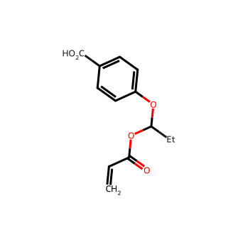 C=CC(=O)OC(CC)Oc1ccc(C(=O)O)cc1